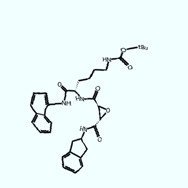 CC(C)(C)OC(=O)NCCCC[C@H](NC(=O)[C@H]1O[C@@H]1C(=O)NC1Cc2ccccc2C1)C(=O)Nc1cccc2ccccc12